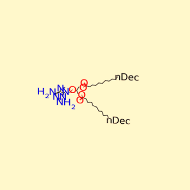 CCCCCCCCCCCCCCCCCCCC(=O)OCC(COC(=O)CCCCCCCCCCCCCCCCCCC)OCn1cnc2c(N)nc(N)nc21